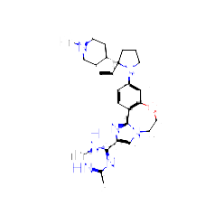 C=C[C@]1(C2CCN(C(C)C)CC2)CCCN1c1ccc2c(c1)OCCn1cc(/C(=N/C(C)=N)NC(C)C)nc1-2